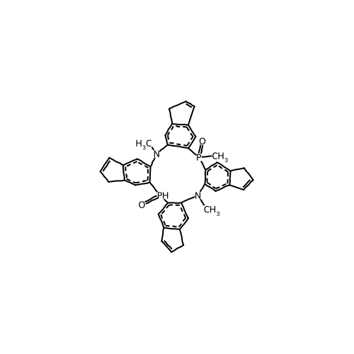 CN1c2cc3c(cc2[PH](=O)c2cc4c(cc2N(C)c2cc5c(cc2P(C)(=O)c2cc6c(cc21)CC=C6)CC=C5)CC=C4)CC=C3